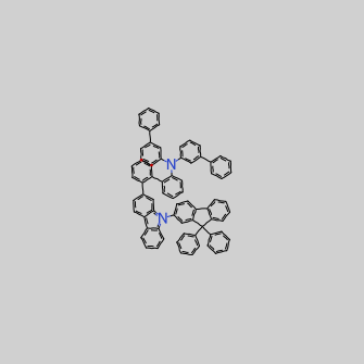 c1ccc(-c2cccc(N(c3cccc(-c4ccccc4)c3)c3ccccc3-c3ccccc3-c3ccc4c5ccccc5n(-c5ccc6c(c5)C(c5ccccc5)(c5ccccc5)c5ccccc5-6)c4c3)c2)cc1